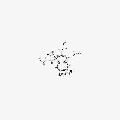 CCCCc1ccccc1C(N)(CCCC)CCCC.N#CO